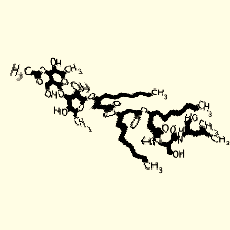 CCCCCCCC(CC(=O)NC(CO)C(=O)NC(CO)CC(C)C)OC(=O)CC(CCCCCCC)OC(=O)CC(CCCCCCC)OC1OC(C)C(O)C(OC2OC(C)C(O)C(OC(C)=O)C2CO)C1O